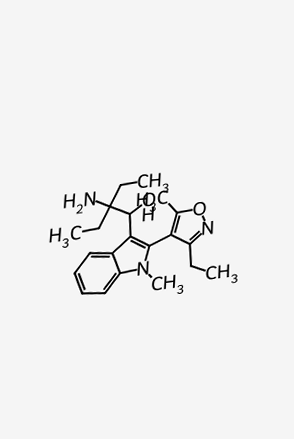 CCc1noc(C)c1-c1c(C(O)C(N)(CC)CC)c2ccccc2n1C